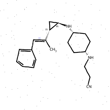 C/C(=C\c1ccccc1)[C@@H]1C[C@H]1N[C@H]1CC[C@@H](NCCC#N)CC1